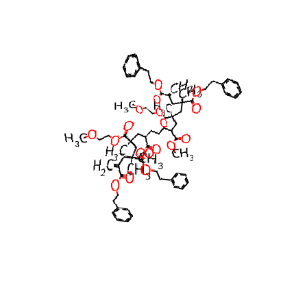 C=C(CC(C)(CC(C)(CC(CCCC(CC(C)(CC(C)(CC(=C)C(=O)OCCc1ccccc1)C(=O)OCCc1ccccc1)C(=O)OCCOC)C(=O)OC)C(=O)OC)C(=O)OCCOC)C(=O)OCCc1ccccc1)C(=O)OCCc1ccccc1